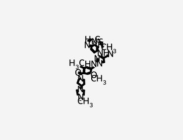 CCc1cc(CNc2ncc(C#N)c(Nc3ccc4nccnc4c3N(C)SC)n2)c(OC)cc1C(=O)N1CCC(N2CCN(C)CC2)CC1